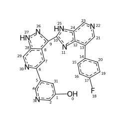 Oc1cncc(-c2cc3c(-c4nc5c(-c6ccc(F)cc6)cncc5[nH]4)n[nH]c3cn2)c1